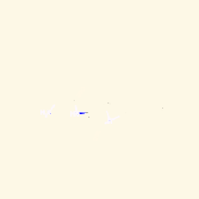 CC(=O)OCC1=C(C(=O)O)N2C(=O)[C@@H](NC(=O)C(N)C3=CCC=CC3)[C@H]2SC1